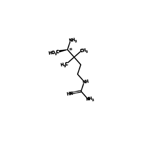 CC(C)(CCNC(=N)N)[C@H](N)C(=O)O